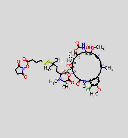 COc1cc2cc(c1Cl)N(C)C(=O)C[C@H](OC(=O)[C@H](C)N(C)C(=O)CCC(C)(C)SSCCCC(=O)ON1C(=O)CCC1=O)[C@]1(C)O[C@H]1[C@H](C)[C@@H]1C[C@@](O)(NC(=O)O1)[C@H](OC)/C=C\C=C(\C)C2